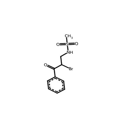 CS(=O)(=O)NCC(Br)C(=O)c1ccccc1